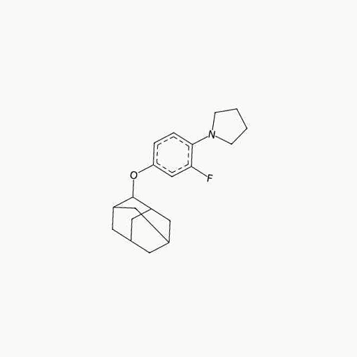 Fc1cc(OC2C3CC4CC(C3)CC2C4)ccc1N1CCCC1